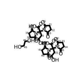 O=C(O)CC(C(=O)O)(N1C(=O)CCC1=O)N1C(=O)CCC1=O.O=C(O)CC(C(=O)O)(N1C(=O)CCC1=O)N1C(=O)CCC1=O.OCCO